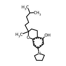 CC(C)CCCC1(C)CCc2c(O)cc(N3CCCC3)cc2O1